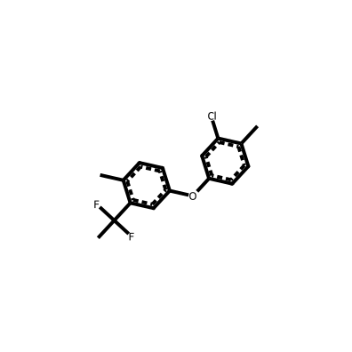 Cc1ccc(Oc2ccc(C)c(C(C)(F)F)c2)cc1Cl